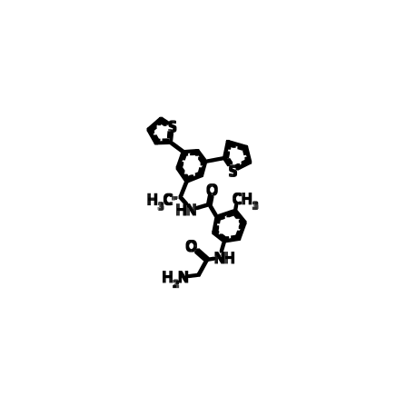 Cc1ccc(NC(=O)CN)cc1C(=O)N[C@H](C)c1cc(-c2cccs2)cc(-c2cccs2)c1